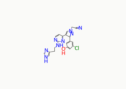 N#CCn1cc(-c2ccnc(NCCc3c[nH]cn3)n2)c(-c2cc(O)cc(Cl)c2)n1